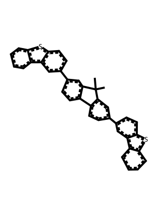 CC1(C)c2cc(-c3ccc4sc5ccccc5c4c3)ccc2-c2ccc(-c3ccc4sc5ccccc5c4c3)cc21